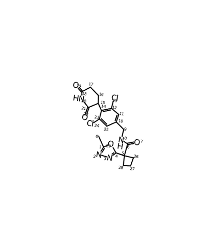 Cc1nnc(C2(C(=O)NCc3cc(Cl)c(C4CCC(=O)NC4=O)c(Cl)c3)CCC2)o1